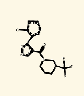 O=C(c1cnoc1-c1ccccc1Cl)N1CCCC(C(F)(F)F)C1